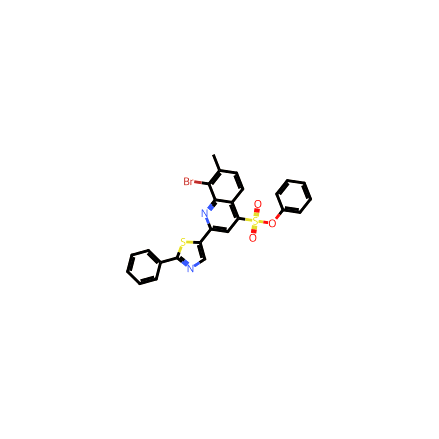 Cc1ccc2c(S(=O)(=O)Oc3ccccc3)cc(-c3cnc(-c4ccccc4)s3)nc2c1Br